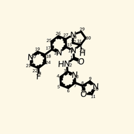 O=C(Nc1cccc(-c2cnco2)n1)N1c2nc(-c3cncc(F)c3)ccc2N2CC[C@H]1C2